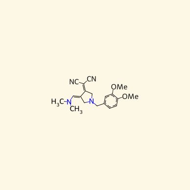 COc1ccc(CN2CC(=CN(C)C)C(=C(C#N)C#N)C2)cc1OC